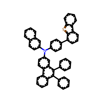 c1ccc(-c2c(-c3ccccc3)c3cc(N(c4ccc(-c5cccc6c5sc5ccccc56)cc4)c4ccc5ccccc5c4)ccc3c3ccccc23)cc1